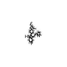 CCCCC1(N(C)C)CC=C(c2[nH]c3ccc(F)cc3c2CCn2cccn2)CC1